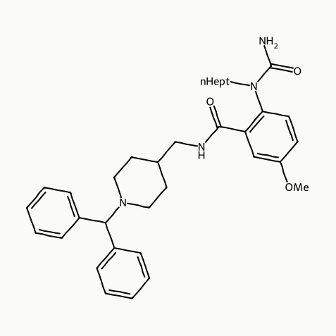 CCCCCCCN(C(N)=O)c1ccc(OC)cc1C(=O)NCC1CCN(C(c2ccccc2)c2ccccc2)CC1